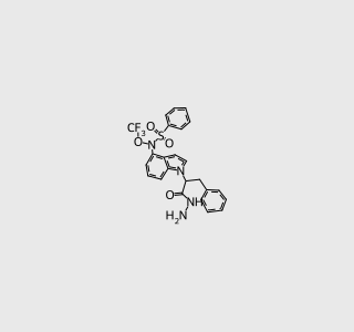 NNC(=O)C(Cc1ccccc1)n1ccc2c(N(OC(F)(F)F)S(=O)(=O)c3ccccc3)cccc21